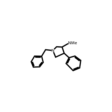 CNC1CN(Cc2ccccc2)CC1c1ccccc1